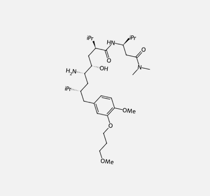 COCCCOc1cc(C[C@@H](C[C@H](N)[C@@H](O)C[C@H](C(=O)N[C@H](CC(=O)N(C)C)C(C)C)C(C)C)C(C)C)ccc1OC